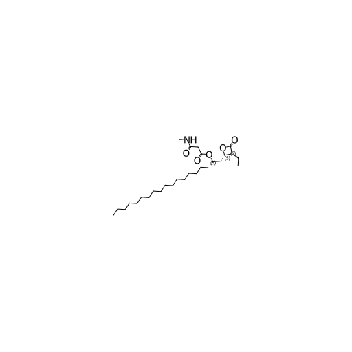 CCCCCCCCCCCCCCCCC[C@@H](C[C@@H]1OC(=O)[C@H]1CC)OC(=O)CC(=O)NC